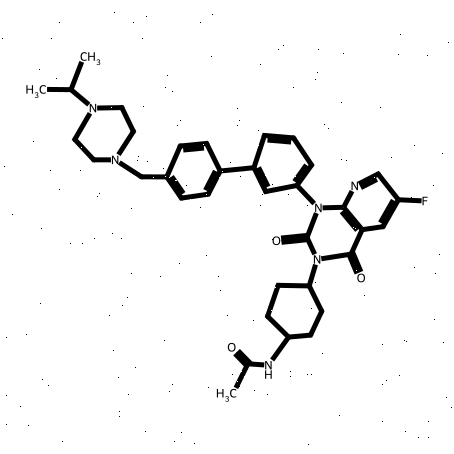 CC(=O)NC1CCC(n2c(=O)c3cc(F)cnc3n(-c3cccc(-c4ccc(CN5CCN(C(C)C)CC5)cc4)c3)c2=O)CC1